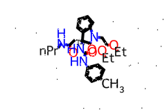 CCCNC(=O)C[C@@]1(NC(=O)Nc2ccc(C)cc2)C(=O)N(CC(OCC)OCC)c2ccccc21